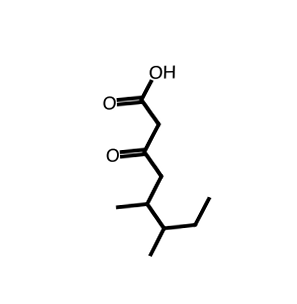 CCC(C)C(C)CC(=O)CC(=O)O